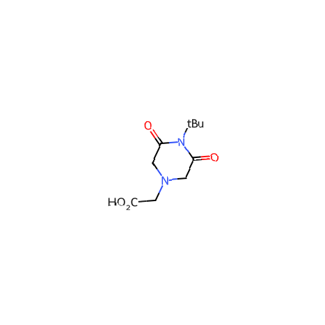 CC(C)(C)N1C(=O)CN(CC(=O)O)CC1=O